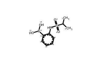 CC(C)S(=O)(=O)Nc1ccccc1B(O)O